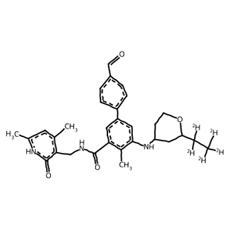 [2H]C([2H])([2H])C([2H])([2H])C1CC(Nc2cc(-c3ccc(C=O)cc3)cc(C(=O)NCc3c(C)cc(C)[nH]c3=O)c2C)CCO1